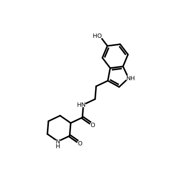 O=C1NCCCC1C(=O)NCCc1c[nH]c2ccc(O)cc12